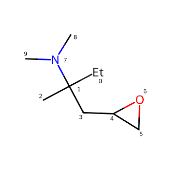 CCC(C)(CC1CO1)N(C)C